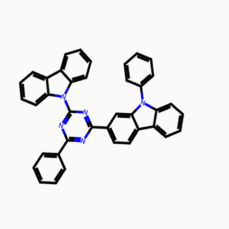 c1ccc(-c2nc(-c3ccc4c5ccccc5n(-c5ccccc5)c4c3)nc(-n3c4ccccc4c4ccccc43)n2)cc1